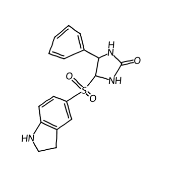 O=C1NC(c2ccccc2)C(S(=O)(=O)c2ccc3c(c2)CCN3)N1